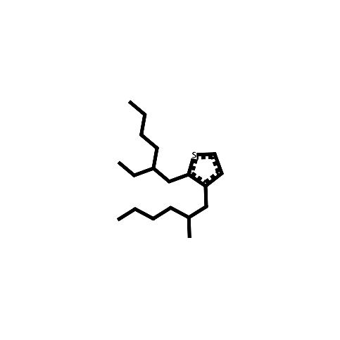 CCCCC(C)Cc1ccsc1CC(CC)CCCC